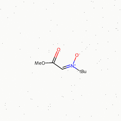 COC(=O)C=[N+]([O-])C(C)(C)C